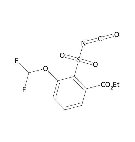 CCOC(=O)c1cccc(OC(F)F)c1S(=O)(=O)N=C=O